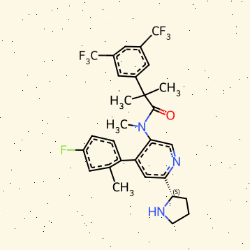 Cc1cc(F)ccc1-c1cc([C@@H]2CCCN2)ncc1N(C)C(=O)C(C)(C)c1cc(C(F)(F)F)cc(C(F)(F)F)c1